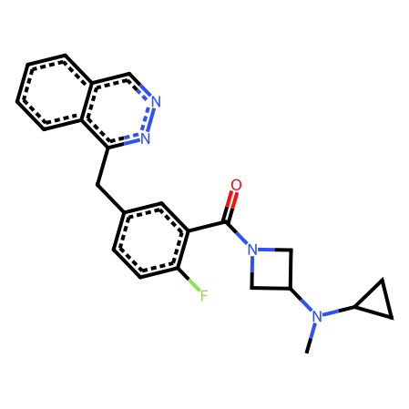 CN(C1CC1)C1CN(C(=O)c2cc(Cc3nncc4ccccc34)ccc2F)C1